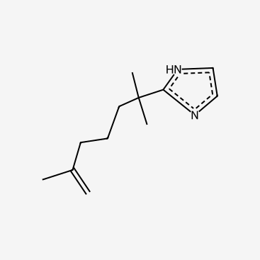 C=C(C)CCCC(C)(C)c1ncc[nH]1